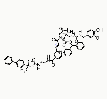 CC(C)(OC(=O)NCCNC(=O)c1ccnc(/C=C/C(=O)N2CS(=O)(=O)C(C)(COC(=O)NCc3ccc(O)c(O)c3)[C@@H]2C(=O)OC(c2ccccc2)c2ccccc2)c1)c1ccc(-c2ccccc2)cc1